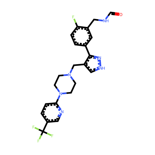 O=CNCc1cc(-c2n[nH]cc2CN2CCN(c3ccc(C(F)(F)F)cn3)CC2)ccc1F